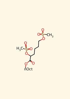 CCCCCCCCOC(=O)C(CCCCOS(C)(=O)=O)OS(C)(=O)=O